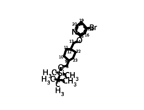 CC(C)(C)[Si](C)(C)OCC1CCC(COc2cc(Br)ccn2)CC1